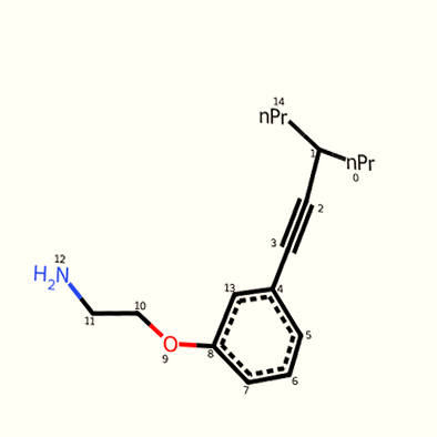 CCCC(C#Cc1cccc(OCCN)c1)CCC